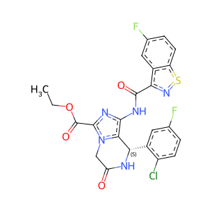 CCOC(=O)c1nc(NC(=O)c2nsc3ccc(F)cc23)c2n1CC(=O)N[C@H]2c1cc(F)ccc1Cl